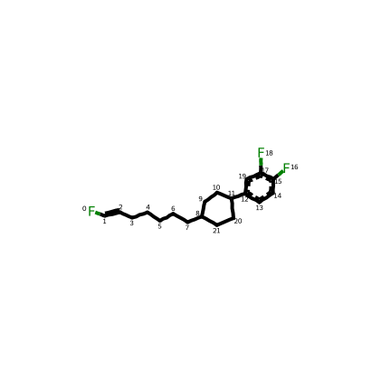 FC=CCCCCCC1CCC(c2ccc(F)c(F)c2)CC1